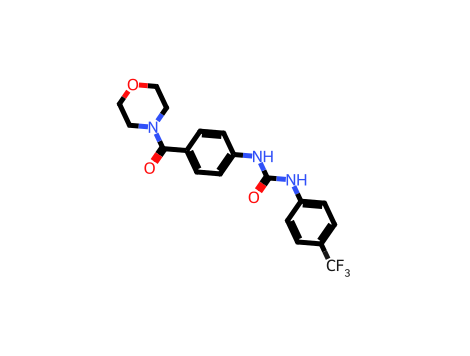 O=C(Nc1ccc(C(=O)N2CCOCC2)cc1)Nc1ccc(C(F)(F)F)cc1